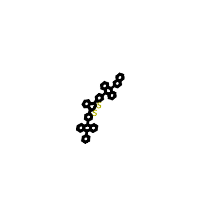 c1ccc(-c2c3ccccc3c(-c3ccc4c(c3)sc3c5sc6cc(-c7c8ccccc8c(-c8ccc9ccccc9c8)c8ccccc78)ccc6c5c5ccccc5c43)c3ccccc23)cc1